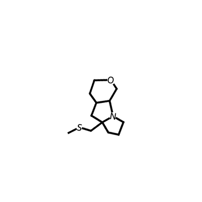 CSCC12CCCN1C1COCCC1C2